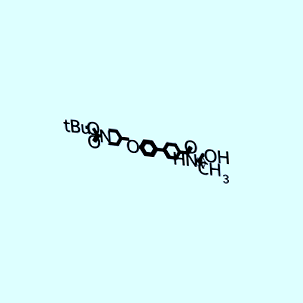 C[C@H](CO)NC(=O)C1CC=C(c2ccc(OCC3CCN(C(=O)OC(C)(C)C)CC3)cc2)CC1